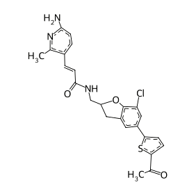 CC(=O)c1ccc(-c2cc(Cl)c3c(c2)CC(CNC(=O)/C=C/c2ccc(N)nc2C)O3)s1